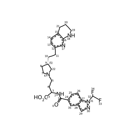 O=C(NC(CCN1CC[C@H](CCc2ccc3c(n2)NCCC3)C1)C(=O)O)c1ccc2c(cnn2C(F)F)c1